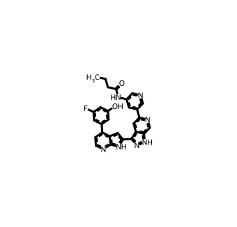 CCCC(=O)Nc1cncc(-c2cc3c(-c4cc5c(-c6cc(O)cc(F)c6)ccnc5[nH]4)n[nH]c3cn2)c1